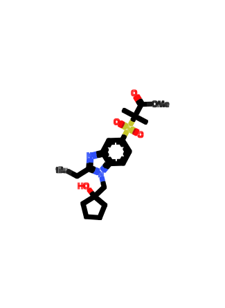 COC(=O)C(C)(C)S(=O)(=O)c1ccc2c(c1)nc(CC(C)(C)C)n2CC1(O)CCCC1